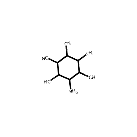 BC1C(C#N)C(C#N)C(C#N)C(C#N)C1C#N